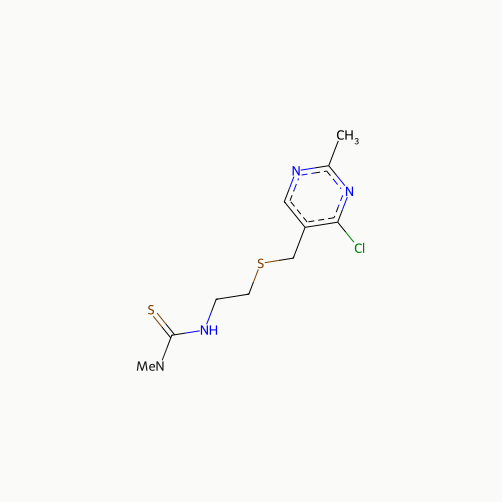 CNC(=S)NCCSCc1cnc(C)nc1Cl